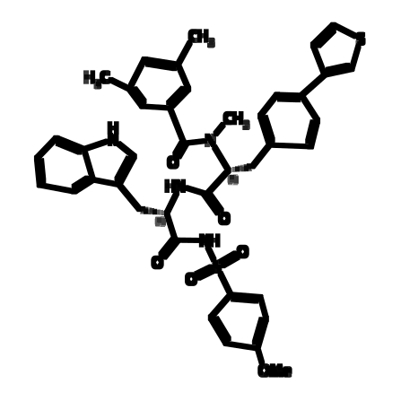 COc1ccc(S(=O)(=O)NC(=O)[C@H](Cc2c[nH]c3ccccc23)NC(=O)[C@@H](Cc2ccc(-c3ccsc3)cc2)N(C)C(=O)c2cc(C)cc(C)c2)cc1